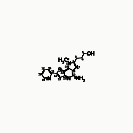 Cn1c(CCCO)nc2c(N)nc3cc(-c4ccccn4)sc3c21